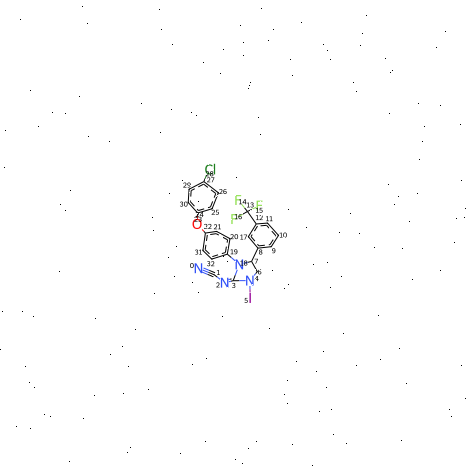 N#CN=C1N(I)CC(c2cccc(C(F)(F)F)c2)N1c1ccc(Oc2ccc(Cl)cc2)cc1